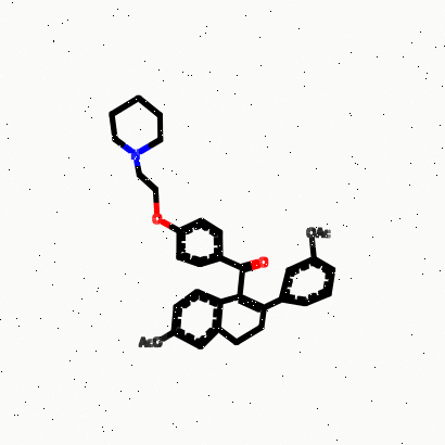 CC(=O)Oc1cccc(C2=C(C(=O)c3ccc(OCCN4CCCCC4)cc3)c3ccc(OC(C)=O)cc3CC2)c1